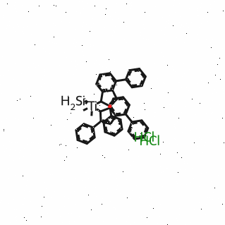 Cl.Cl.[CH3][Ti]([CH3])(=[SiH2])([CH]1C(c2ccccc2)=Cc2c(-c3ccccc3)cccc21)[CH]1C(c2ccccc2)=Cc2c(-c3ccccc3)cccc21